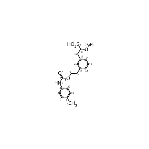 Cc1ccc(NC(=O)OCCc2cccc(CC(OC(C)C)C(=O)O)c2)cc1